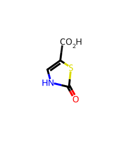 O=C(O)c1c[nH]c(=O)s1